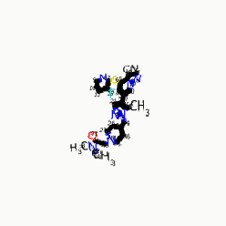 Cc1c(-c2cc(Sc3ncccc3F)c3c(C#N)cnn3c2)cnn1CC1CCN(CC(=O)N(C)C)CC1